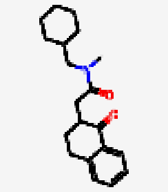 CN(CC1CCCCC1)C(=O)CC1CCc2ccccc2C1=O